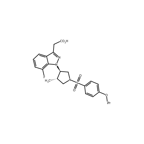 CC(C)Oc1ccc(S(=O)(=O)N2C[C@H](C)[C@@H](n3nc(CC(=O)O)c4cccc(F)c43)C2)cc1